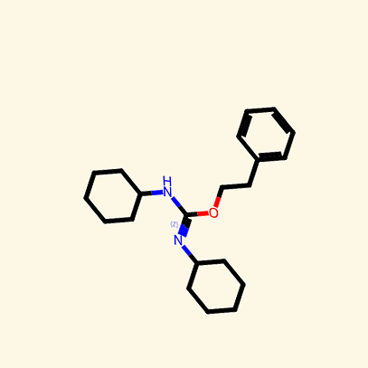 c1ccc(CCO/C(=N\C2CCCCC2)NC2CCCCC2)cc1